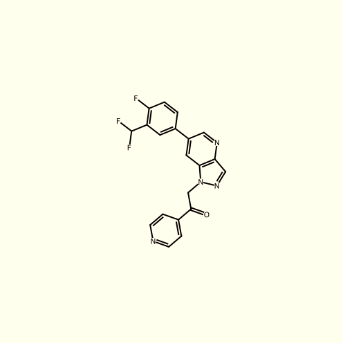 O=C(Cn1ncc2ncc(-c3ccc(F)c(C(F)F)c3)cc21)c1ccncc1